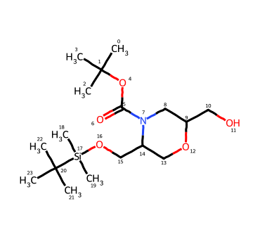 CC(C)(C)OC(=O)N1CC(CO)OCC1CO[Si](C)(C)C(C)(C)C